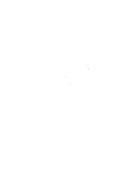 COC(=O)c1ccc(Cn2cc([N+](=O)[O-])c(C(C)=O)n2)cc1